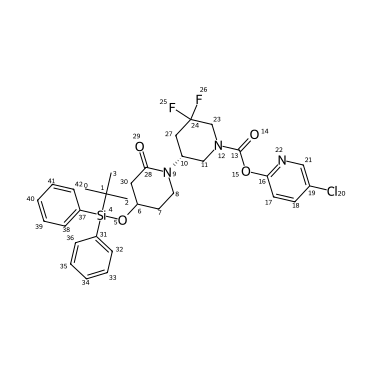 CC(C)(C)[Si](OC1CCN([C@H]2CN(C(=O)Oc3ccc(Cl)cn3)CC(F)(F)C2)C(=O)C1)(c1ccccc1)c1ccccc1